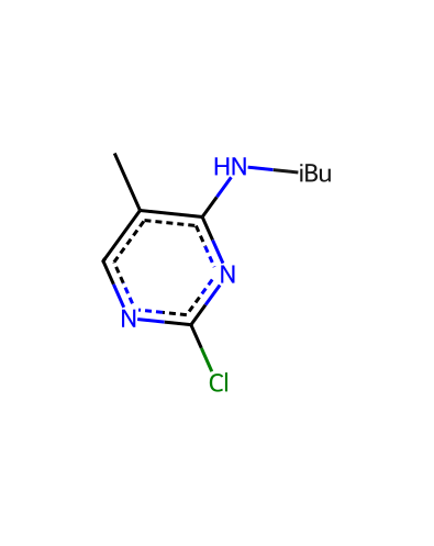 CCC(C)Nc1nc(Cl)ncc1C